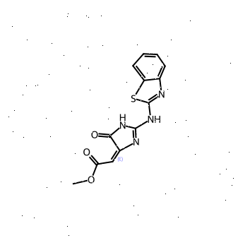 COC(=O)/C=C1/N=C(Nc2nc3ccccc3s2)NC1=O